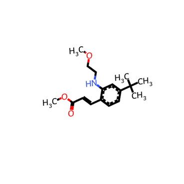 COCCNc1cc(C(C)(C)C)ccc1C=CC(=O)OC